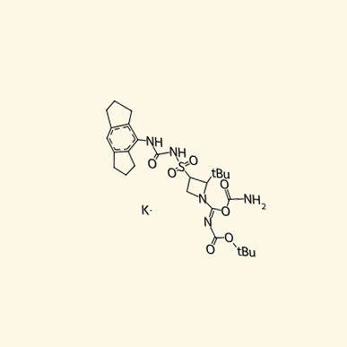 CC(C)(C)OC(=O)N=C(OC(N)=O)N1CC(S(=O)(=O)NC(=O)Nc2c3c(cc4c2CCC4)CCC3)C1C(C)(C)C.[K]